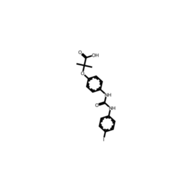 CC(C)(Oc1ccc(NC(=O)Nc2ccc(I)cc2)cc1)C(=O)O